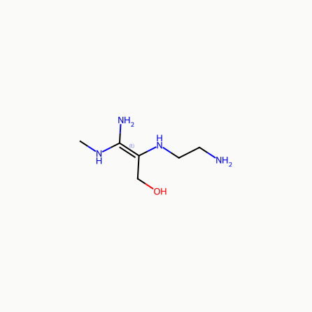 CN/C(N)=C(\CO)NCCN